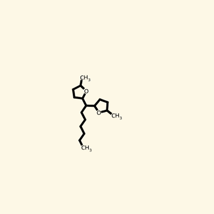 CCCCCCC(C1CCC(C)O1)C1CCC(C)O1